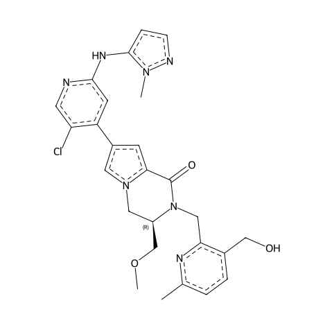 COC[C@H]1Cn2cc(-c3cc(Nc4ccnn4C)ncc3Cl)cc2C(=O)N1Cc1nc(C)ccc1CO